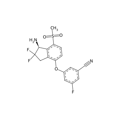 CS(=O)(=O)c1ccc(Oc2cc(F)cc(C#N)c2)c2c1[C@H](N)C(F)(F)C2